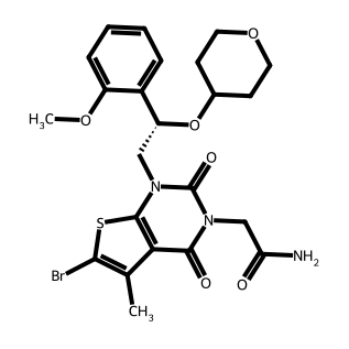 COc1ccccc1[C@@H](Cn1c(=O)n(CC(N)=O)c(=O)c2c(C)c(Br)sc21)OC1CCOCC1